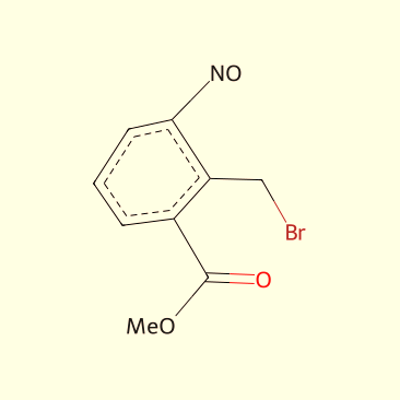 COC(=O)c1cccc(N=O)c1CBr